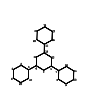 C1CCC(C2CC(C3CCCCC3)CC(C3CCCCC3)C2)CC1